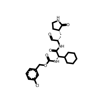 O=C[C@H](C[C@@H]1CCNC1=O)NC(=O)[C@@H](NC(=O)OCc1cccc(Cl)c1)C1CCCCC1